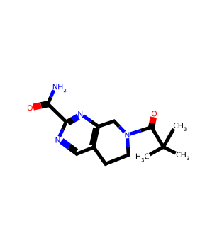 CC(C)(C)C(=O)N1CCc2[c]nc(C(N)=O)nc2C1